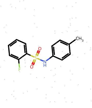 Cc1ccc(NS(=O)(=O)c2ccccc2F)cc1